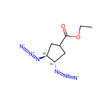 CCOC(=O)C1C[C@H](N=[N+]=[N-])[C@@H](N=[N+]=[N-])C1